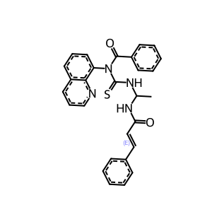 CC(NC(=O)/C=C/c1ccccc1)NC(=S)N(C(=O)c1ccccc1)c1cccc2cccnc12